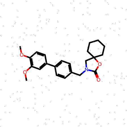 COc1ccc(-c2ccc(CN3CC4(CCCCC4)OC3=O)cc2)cc1OC